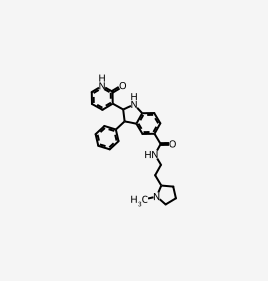 CN1CCCC1CCNC(=O)c1ccc2c(c1)C(c1ccccc1)C(c1ccc[nH]c1=O)N2